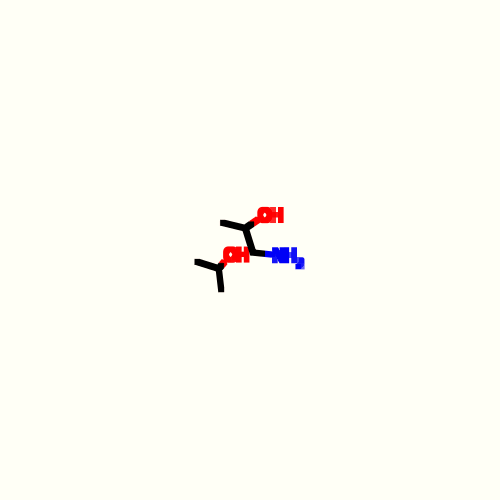 CC(C)O.CC(O)CN